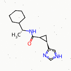 C[C@@H](NC(=O)C1C[C@H]1c1c[nH]cn1)C1CCCCC1